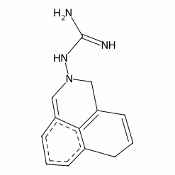 N=C(N)NN1C=c2cccc3c2=C(C=CC3)C1